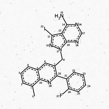 Cc1cccc2cc(Cn3nc(I)c4c(N)ncnc43)c(-c3ccccc3F)nc12